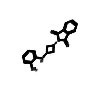 O=C1c2ccccc2C(=O)N1[C@H]1C[C@H](Nc2ccccc2[N+](=O)[O-])C1